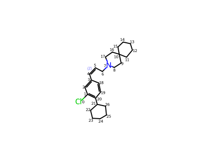 Clc1cc(/C=C\CN2CCC3(CCCCC3)CC2)ccc1C1CCCCC1